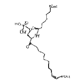 CCCCCCCC/C=C\CCCCCCCC(=O)C(COP(=O)(O)O)NC(=O)CCCCCCCCCCCCCCC